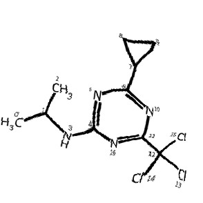 CC(C)Nc1nc(C2CC2)nc(C(Cl)(Cl)Cl)n1